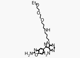 CCOCCOCCOCCCNCCCCn1nc(-c2ccc3oc(N)nc3c2)c2c(N)ncnc21